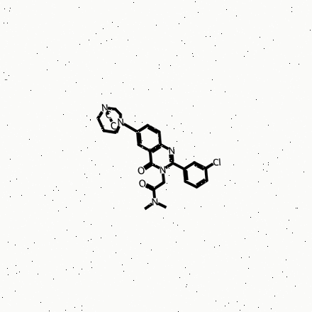 CN(C)C(=O)Cn1c(-c2cccc(Cl)c2)nc2ccc(N3CCN4CCC3CC4)cc2c1=O